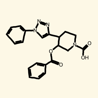 O=C(OC1CN(C(=O)O)CCC1c1cn(-c2ccccc2)nn1)c1ccccc1